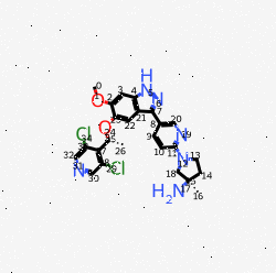 COc1cc2[nH]nc(-c3ccc(N4CC[C@@](C)(N)C4)nc3)c2cc1O[C@H](C)c1c(Cl)cncc1Cl